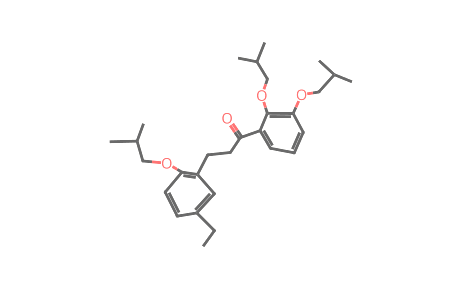 CCc1ccc(OCC(C)C)c(CCC(=O)c2cccc(OCC(C)C)c2OCC(C)C)c1